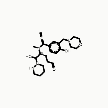 C=C=C(c1ccc(O)c(CN2CCOCC2)c1)N(C)[C@@H](CCC=O)C(O)N1CCCCN1